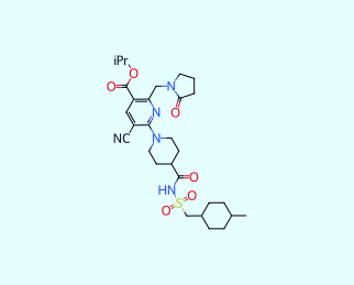 CC1CCC(CS(=O)(=O)NC(=O)C2CCN(c3nc(CN4CCCC4=O)c(C(=O)OC(C)C)cc3C#N)CC2)CC1